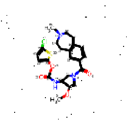 COC1CN(C(=O)c2ccc3c(c2)CCN(C)CC3)CC1NC(=O)Oc1ccc(Cl)s1